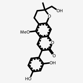 COc1c2c(cc3oc(=O)c(-c4ccc(O)cc4O)cc13)OC(C)(CO)CC2